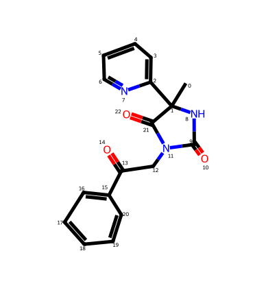 CC1(c2ccccn2)NC(=O)N(CC(=O)c2ccccc2)C1=O